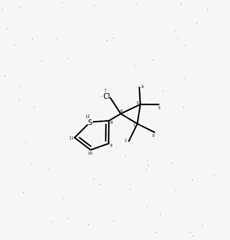 CC1(C)C(C)(C)C1(Cl)c1cccs1